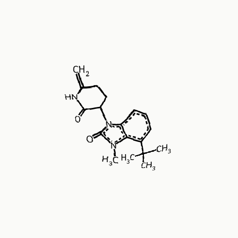 C=C1CCC(n2c(=O)n(C)c3c(C(C)(C)C)cccc32)C(=O)N1